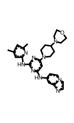 Cc1cc(C)nc(Nc2nc(Nc3ccn4ccnc4c3)cc(N3CCC(N4CCOCC4)CC3)n2)c1